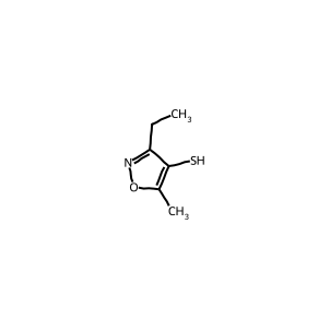 CCc1noc(C)c1S